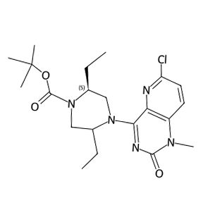 CCC1CN(C(=O)OC(C)(C)C)[C@@H](CC)CN1c1nc(=O)n(C)c2ccc(Cl)nc12